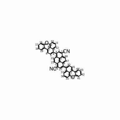 N#Cc1cc(-c2ccc3c4c(cccc24)Oc2ccccc2-3)c2ccc3c(C#N)cc(-c4ccc5c6c(cccc46)Oc4ccccc4-5)c4ccc1c2c34